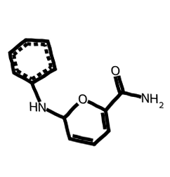 NC(=O)C1=CC=CC(Nc2ccccc2)O1